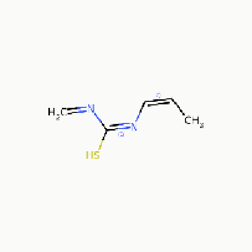 C=N/C(S)=N\C=C/C